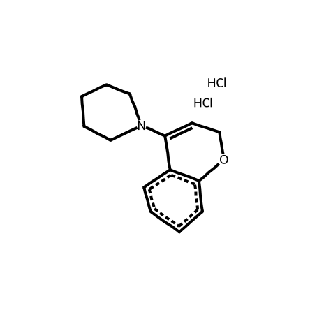 C1=C(N2CCCCC2)c2ccccc2OC1.Cl.Cl